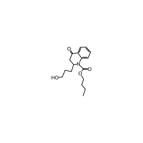 CCCCOC(=O)N1c2ccccc2C(=O)CC1CCCO